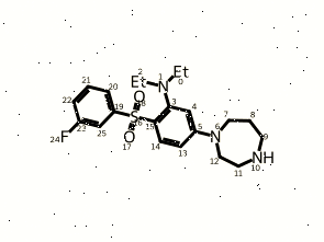 CCN(CC)c1cc(N2CCCNCC2)ccc1S(=O)(=O)c1cccc(F)c1